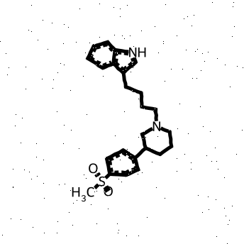 CS(=O)(=O)c1ccc(C2CCCN(CCCCc3c[nH]c4ccccc34)C2)cc1